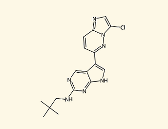 CC(C)(C)CNc1ncc2c(-c3ccc4ncc(Cl)n4n3)c[nH]c2n1